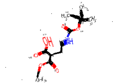 COC(=O)C(CCNC(=O)OC(C)(C)C)C(=O)O